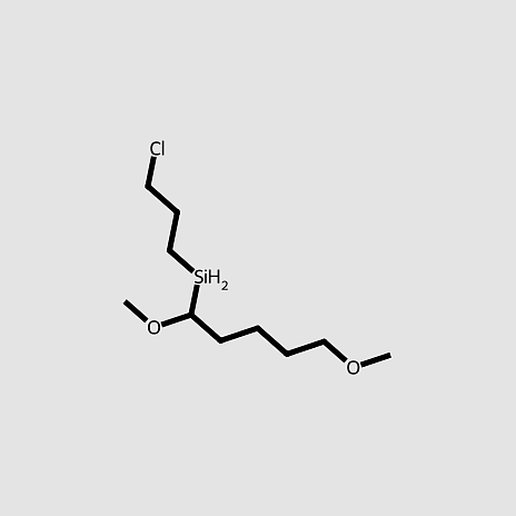 COCCCCC(OC)[SiH2]CCCCl